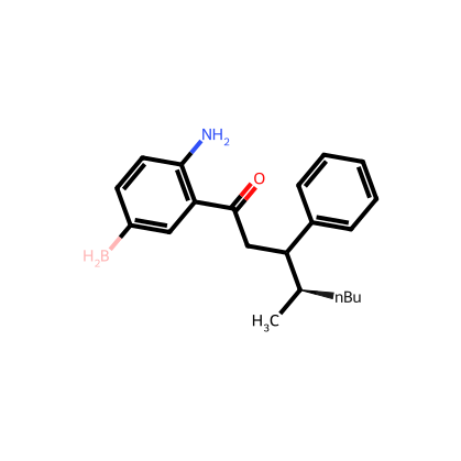 Bc1ccc(N)c(C(=O)CC(c2ccccc2)[C@H](C)CCCC)c1